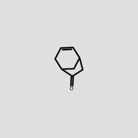 O=C1CC2C=CCC1C2